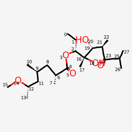 CC[C@@H](OC(=O)[C@H](C)C[C@H](C)C[C@H](C)OC)[C@@](C)(O)[C@H](O)[C@@H](C)C(=O)C(C)C